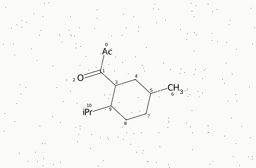 CC(=O)C(=O)C1CC(C)CCC1C(C)C